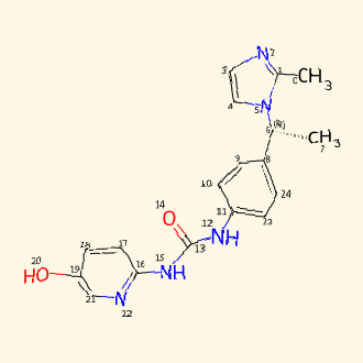 Cc1nccn1[C@H](C)c1ccc(NC(=O)Nc2ccc(O)cn2)cc1